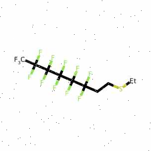 CCSCCC(F)(F)C(F)(F)C(F)(F)C(F)(F)C(F)(F)C(F)(F)F